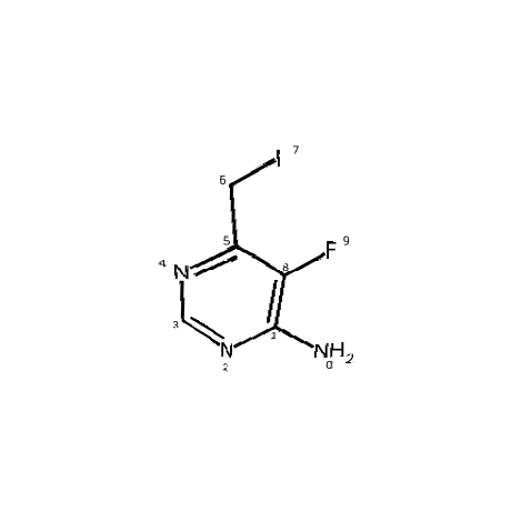 Nc1ncnc(CI)c1F